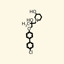 CC(O)(COc1ccc(-c2ccc(Cl)cc2)cc1)CN1CCCC(O)C1